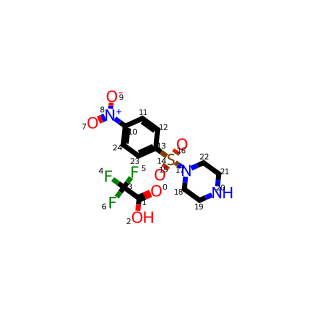 O=C(O)C(F)(F)F.O=[N+]([O-])c1ccc(S(=O)(=O)N2CCNCC2)cc1